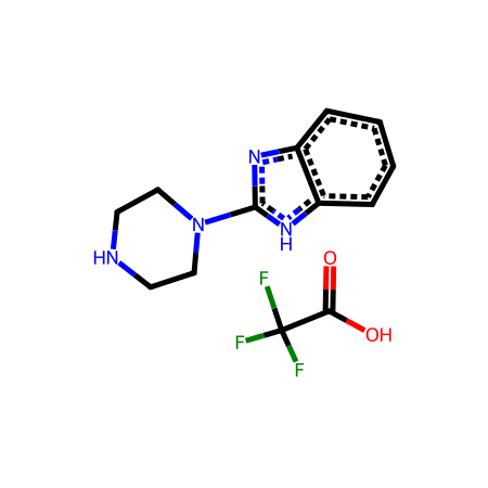 O=C(O)C(F)(F)F.c1ccc2[nH]c(N3CCNCC3)nc2c1